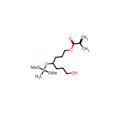 C=C(C)C(=O)OCCCC(CCCO)O[Si](C)(OC)OC